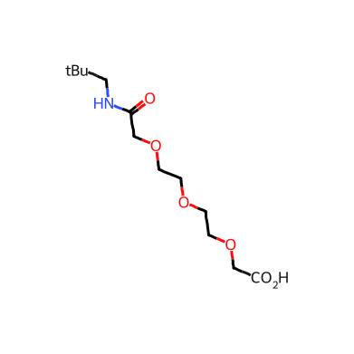 CC(C)(C)CNC(=O)COCCOCCOCC(=O)O